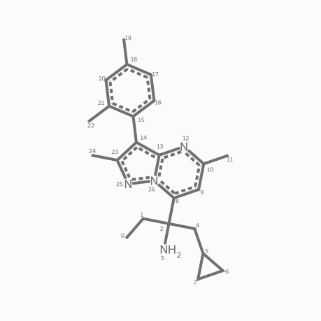 CCC(N)(CC1CC1)c1cc(C)nc2c(-c3ccc(C)cc3C)c(C)nn12